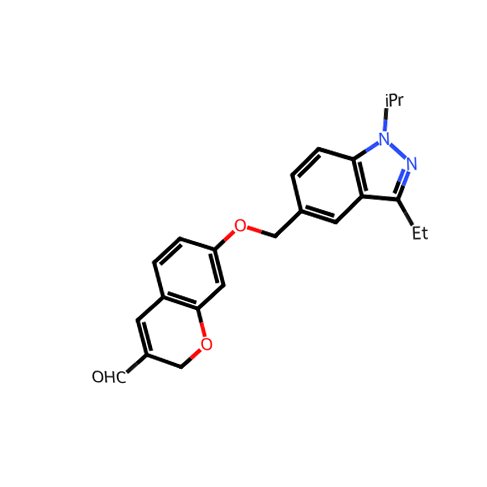 CCc1nn(C(C)C)c2ccc(COc3ccc4c(c3)OCC(C=O)=C4)cc12